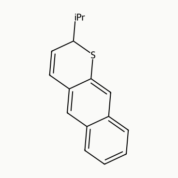 CC(C)C1C=Cc2cc3ccccc3cc2S1